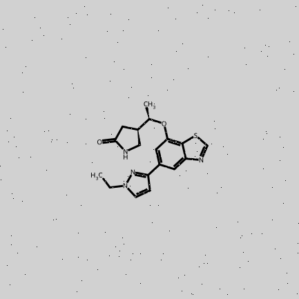 CCn1ccc(-c2cc(O[C@H](C)[C@H]3CNC(=O)C3)c3scnc3c2)n1